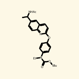 CCN(C(=O)OC(C)(C)C)c1ccc(Oc2ccc3cc(C(C)NC(C)=O)ccc3n2)cc1